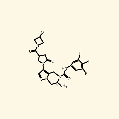 C[C@H]1Cn2ncc(N3CC(C(=O)N4CC(O)C4)CC3=O)c2CN1C(=O)Nc1cc(F)c(F)c(F)c1